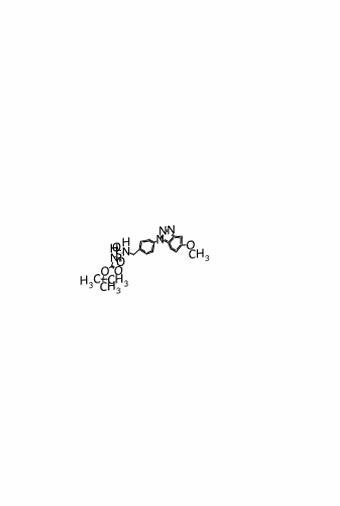 COc1ccc2c(c1)nnn2-c1ccc(CNS(=O)(=O)NC(=O)OC(C)(C)C)cc1